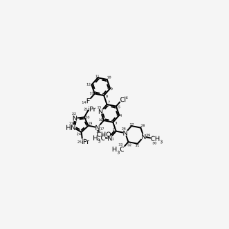 C/N=C(\c1cc(Cl)c(-c2ccccc2F)nc1N(C=O)c1c(C(C)C)n[nH]c1C(C)C)N1CCN(C)CC1C